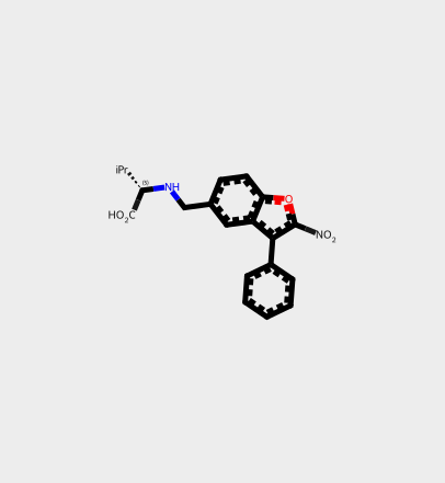 CC(C)[C@H](NCc1ccc2oc([N+](=O)[O-])c(-c3ccccc3)c2c1)C(=O)O